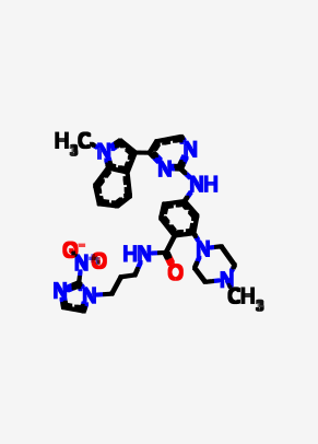 CN1CCN(c2cc(Nc3nccc(-c4cn(C)c5ccccc45)n3)ccc2C(=O)NCCCn2ccnc2[N+](=O)[O-])CC1